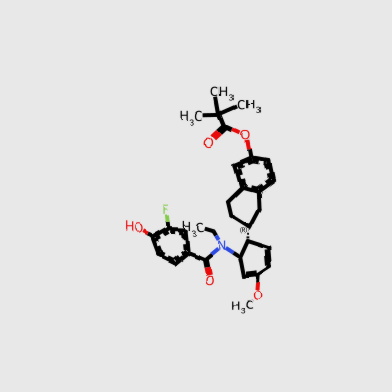 CCN(C(=O)c1ccc(O)c(F)c1)C1C=C(OC)C=CC1[C@@H]1CCc2cc(OC(=O)C(C)(C)C)ccc2C1